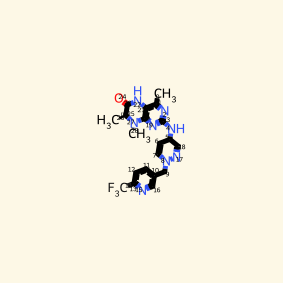 Cc1nc(NC2C=CN(Cc3ccc(C(F)(F)F)nc3)N=C2)nc2c1NC(=O)[C@H](C)N2C